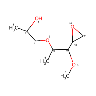 COC(C(C)OCC(C)O)C1CO1